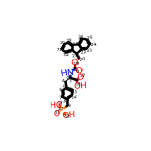 O=C(N[C@H](Cc1ccc(CP(=O)(O)O)cc1)C(=O)O)OCC1c2ccccc2-c2ccccc21